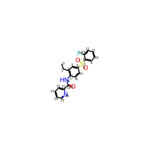 CCc1cc(S(=O)(=O)c2ccccc2F)ccc1NC(=O)c1ccccn1